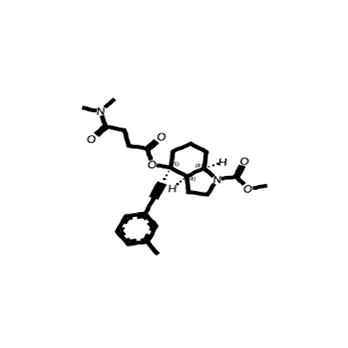 COC(=O)N1CC[C@@H]2[C@H]1CCC[C@]2(C#Cc1cccc(C)c1)OC(=O)CCC(=O)N(C)C